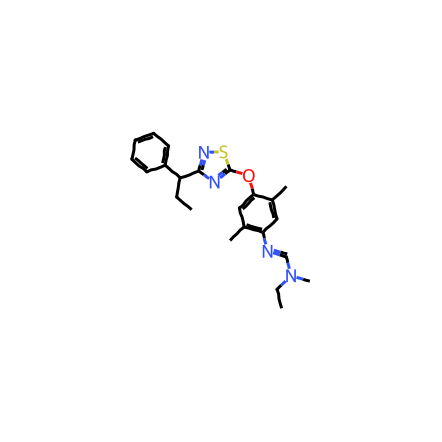 CCC(c1ccccc1)c1nsc(Oc2cc(C)c(N=CN(C)CC)cc2C)n1